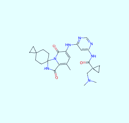 Cc1cc(Nc2cc(NC(=O)C3(CN(C)C)CC3)ncn2)c(=O)n2c1C(=O)NC21CCC2(CC2)CC1